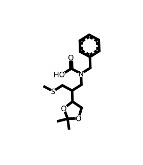 CSCC(CN(Cc1ccccc1)C(=O)O)C1COC(C)(C)O1